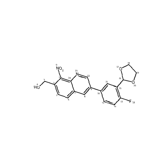 O=[N+]([O-])c1c(CO)ccc2cc(-c3ccc(F)c(C4OCCO4)c3)cnc12